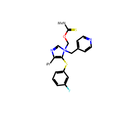 CNC(=S)OC[N+]1(Cc2ccncc2)C=NC(C(C)C)=C1Sc1cccc(F)c1